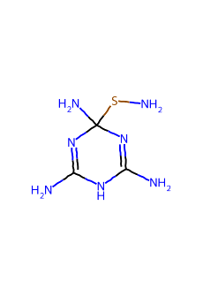 NSC1(N)N=C(N)NC(N)=N1